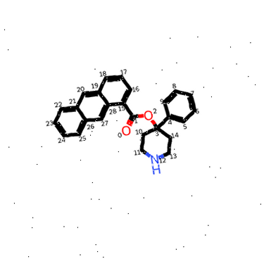 O=C(OC1(c2ccccc2)CCNCC1)c1cccc2cc3ccccc3cc12